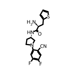 N#Cc1cc(F)c(F)cc1N1CC[C@H](NC(=O)[C@@H](N)Cc2cccs2)C1